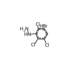 Br.NNc1c(Cl)ccc(Cl)c1Cl